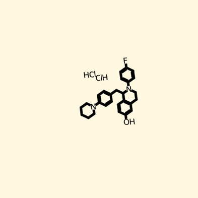 Cl.Cl.Oc1ccc2c(c1)CCN(c1ccc(F)cc1)C2Cc1ccc(N2CCCCC2)cc1